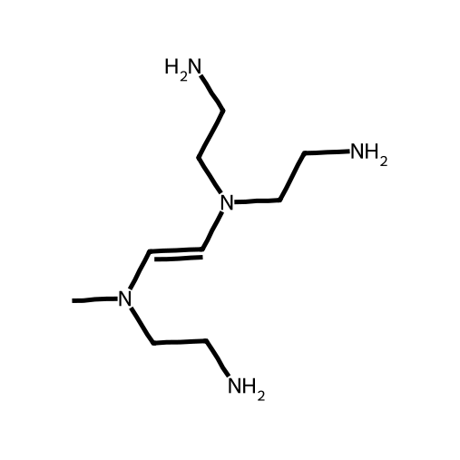 CN(C=CN(CCN)CCN)CCN